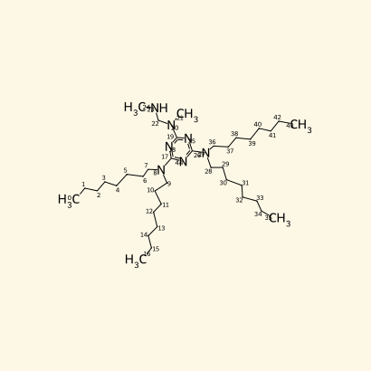 CCCCCCCCN(CCCCCCCC)c1nc(N(C)CNC)nc(N(CCCCCCCC)CCCCCCCC)n1